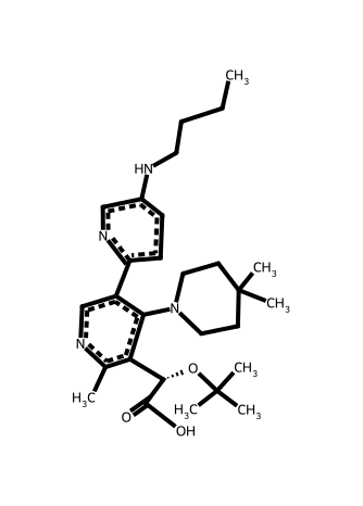 CCCCNc1ccc(-c2cnc(C)c([C@H](OC(C)(C)C)C(=O)O)c2N2CCC(C)(C)CC2)nc1